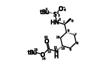 C[C@H](N[S@@+]([O-])C(C)(C)C)[C@@H]1CCC[C@H](NC(=O)OC(C)(C)C)C1